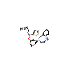 CNCCC(Oc1cccc(N2CCN(C)c3ccccc3C2)c1)c1cccs1